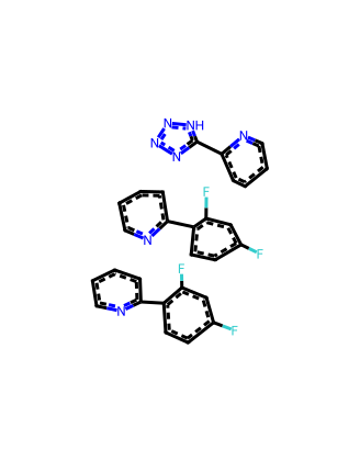 Fc1ccc(-c2ccccn2)c(F)c1.Fc1ccc(-c2ccccn2)c(F)c1.c1ccc(-c2nnn[nH]2)nc1